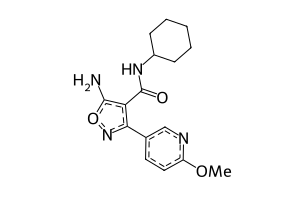 COc1ccc(-c2noc(N)c2C(=O)NC2CCCCC2)cn1